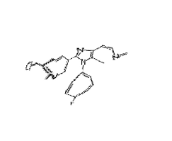 C=N/C=C\c1nc(-c2ccc(Cl)nc2)n(-c2ccc(F)cc2)c1C